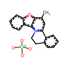 Cc1cc2[n+](c3c1oc1ccccc13)CCc1ccccc1-2.[O-][Cl+3]([O-])([O-])[O-]